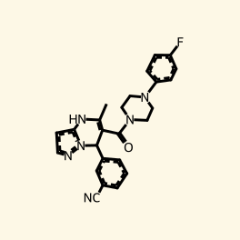 CC1=C(C(=O)N2CCN(c3ccc(F)cc3)CC2)C(c2cccc(C#N)c2)n2nccc2N1